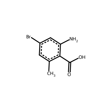 Cc1cc(Br)cc(N)c1C(=O)O